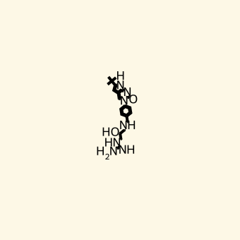 CC(C)(C)c1cc2cn(-c3ccc(CNCC(O)CNC(=N)N)cc3)c(=O)nc2[nH]1